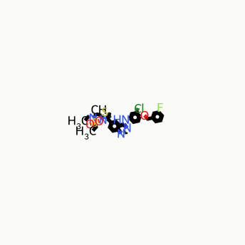 CCN(C(C)c1nc(-c2ccc3ncnc(Nc4ccc(OCc5cccc(F)c5)c(Cl)c4)c3c2)cs1)S(=O)(=O)CC